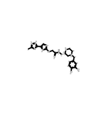 Cc1nc(-c2csc(SCC(=O)NC[C@H]3CN(Cc4ccc(Cl)c(Cl)c4)CCO3)n2)no1